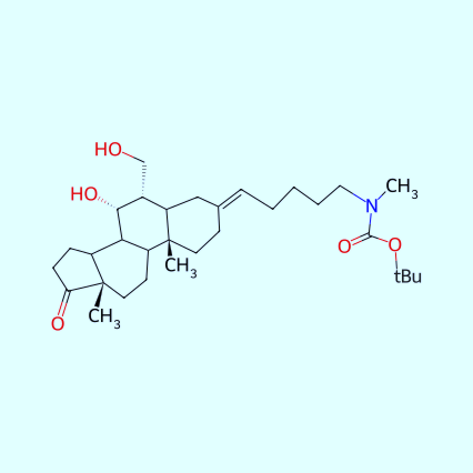 CN(CCCC/C=C1\CC[C@]2(C)C3CC[C@]4(C)C(=O)CCC4C3[C@H](O)[C@H](CO)C2C1)C(=O)OC(C)(C)C